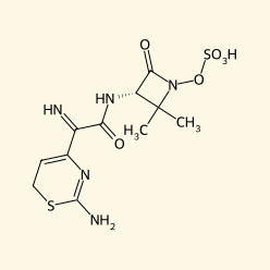 CC1(C)[C@H](NC(=O)C(=N)C2=CCSC(N)=N2)C(=O)N1OS(=O)(=O)O